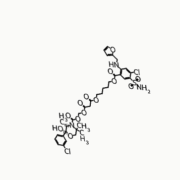 C[C@@H]1N(C(=O)OCOC(=O)CC(=O)OCCCCCOC(=O)c2cc(S(N)(=O)=O)c(Cl)cc2NCc2ccco2)C(C)(C)CO[C@@]1(O)c1cccc(Cl)c1